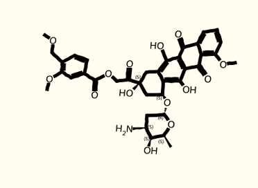 COCc1ccc(C(=O)OCC(=O)[C@]2(O)Cc3c(O)c4c(c(O)c3[C@@H](O[C@H]3C[C@H](N)[C@H](O)[C@H](C)O3)C2)C(=O)c2c(OC)cccc2C4=O)cc1OC